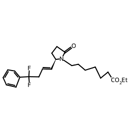 CCOC(=O)CCCCCCN1C(=O)CC[C@@H]1/C=C/CC(F)(F)c1ccccc1